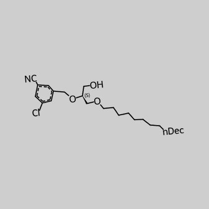 CCCCCCCCCCCCCCCCCCOC[C@H](CO)OCc1cc(Cl)cc(C#N)c1